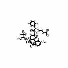 COc1ccc2c3c1O[C@H]1C(OC(=O)[C@@H](OC(=O)CCC(=O)O)c4ccccc4)=CC[C@@]4(O)[C@@H](C2)N(C)CC[C@]314.O=C(O)C(F)(F)F